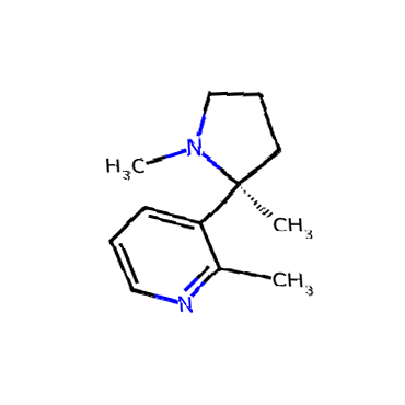 Cc1ncccc1[C@]1(C)CCCN1C